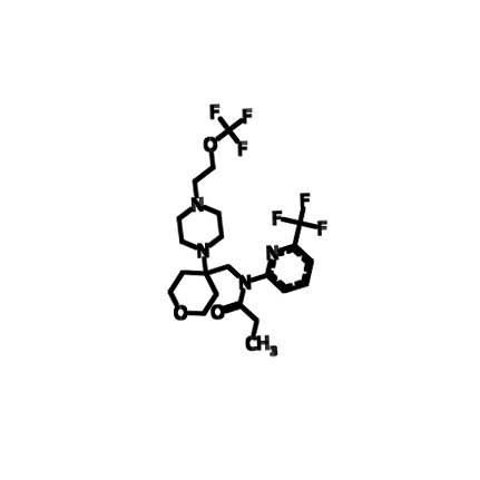 CCC(=O)N(CC1(N2CCN(CCOC(F)(F)F)CC2)CCOCC1)c1cccc(C(F)(F)F)n1